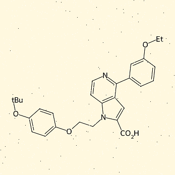 CCOc1cccc(-c2nccc3c2cc(C(=O)O)n3CCOc2ccc(OC(C)(C)C)cc2)c1